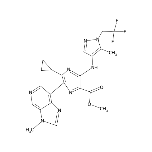 COC(=O)c1nc(-c2cncc3c2ncn3C)c(C2CC2)nc1Nc1cnn(CC(F)(F)F)c1C